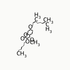 CCC=CCCOc1c(OC)c2ccc(OCC=C(C)CCC=C(C)C)cc2oc1=O